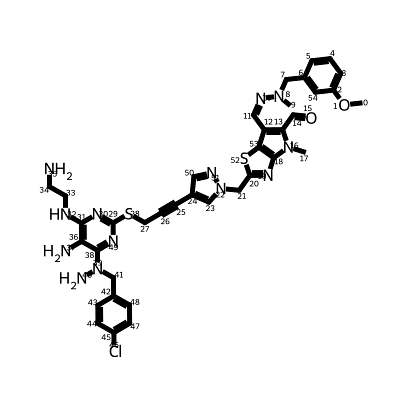 COc1cccc(CN(C)/N=C\c2c(C=O)n(C)c3nc(Cn4cc(C#CCSc5nc(NCCN)c(N)c(N(N)Cc6ccc(Cl)cc6)n5)cn4)sc23)c1